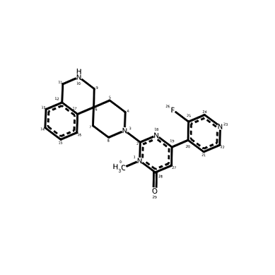 Cn1c(N2CCC3(CC2)CNCc2ccccc23)nc(-c2ccncc2F)cc1=O